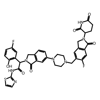 O=C1CCC(N2Cc3cc(CN4CCN(c5ccc6c(c5)C(=O)N(C(C(=O)Nc5nccs5)c5cc(F)ccc5O)C6)CC4)c(F)cc3C2=O)C(=O)N1